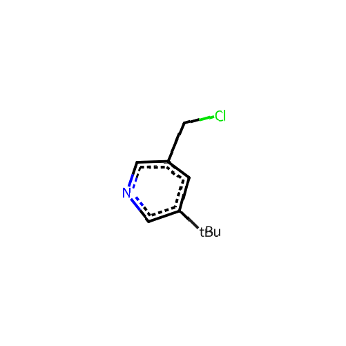 CC(C)(C)c1cncc(CCl)c1